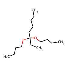 CCCCCC(CC)(OCCCC)OCCCC